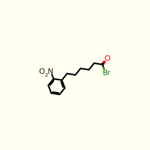 O=C(Br)CCCCCc1ccccc1[N+](=O)[O-]